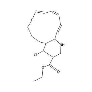 CCOC(=O)C1CNC2/C=C/C=C\C=C\CCCCC2C1Cl